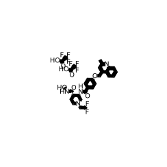 Cc1cc(COc2ccc(C(=O)N[C@@H]3CN(CC(F)F)CC[C@@H]3C(=O)NO)cc2)c2ccccc2n1.O=C(O)C(F)(F)F.O=C(O)C(F)(F)F